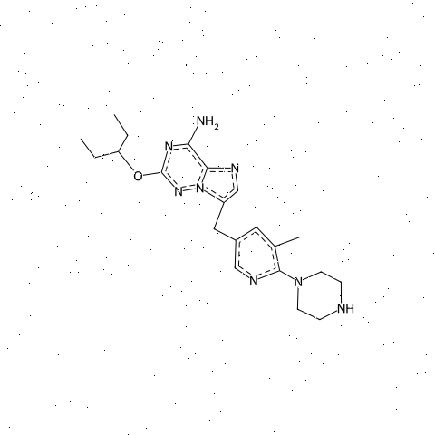 CCC(CC)Oc1nc(N)c2ncc(Cc3cnc(N4CCNCC4)c(C)c3)n2n1